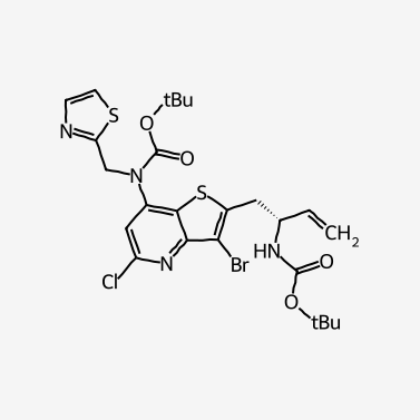 C=C[C@@H](Cc1sc2c(N(Cc3nccs3)C(=O)OC(C)(C)C)cc(Cl)nc2c1Br)NC(=O)OC(C)(C)C